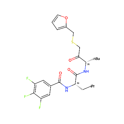 CCCC[C@H](NC(=O)[C@H](CC(C)C)NC(=O)c1cc(F)c(F)c(F)c1)C(=O)CSCc1ccco1